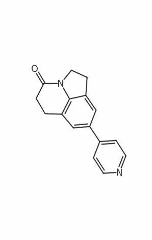 O=C1CCc2cc(-c3ccncc3)cc3c2N1CC3